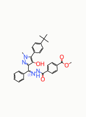 COC(=O)c1ccc(C(=O)N/N=C(/c2ccccc2)c2nn(C)c(-c3ccc(C(C)(C)C)cc3)c2O)cc1